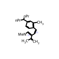 C=C(C)C(/C=C\c1ccc(C(CCC)CCC)cc1C)=C\NC